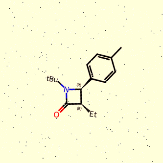 CC[C@H]1C(=O)N(C(C)(C)C)[C@H]1c1ccc(C)cc1